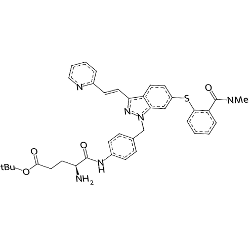 CNC(=O)c1ccccc1Sc1ccc2c(/C=C/c3ccccn3)nn(Cc3ccc(NC(=O)[C@@H](N)CCC(=O)OC(C)(C)C)cc3)c2c1